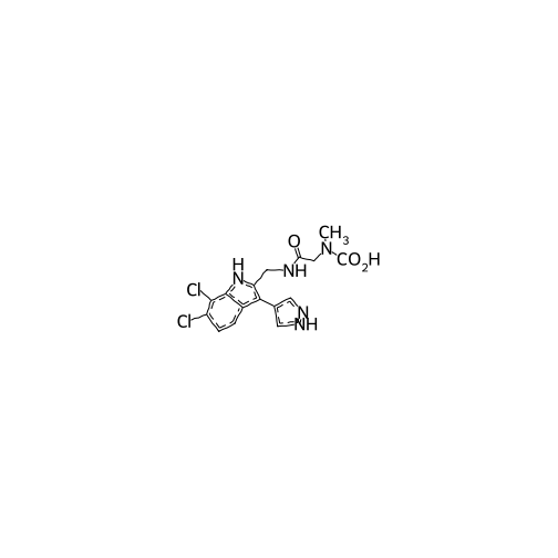 CN(CC(=O)NCc1[nH]c2c(Cl)c(Cl)ccc2c1-c1cn[nH]c1)C(=O)O